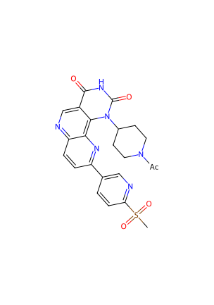 CC(=O)N1CCC(n2c(=O)[nH]c(=O)c3cnc4ccc(-c5ccc(S(C)(=O)=O)nc5)nc4c32)CC1